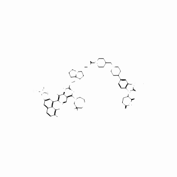 CCc1c(F)ccc2cc(O[Si](C(C)C)(C(C)C)C(C)C)cc(-c3ncc4c(N5CCOCC(C)(O)C5)nc(OC[C@@]56CCCN5[C@H](COC(=O)N5CCC(CN7CCC(c8ccc9c(c8)n(C)c(=O)n9C8CCC(=O)NC8=O)CC7)CC5)CC6)nc4c3F)c12